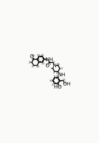 O=C(CN1CCC(Nc2cccc(O)c2CO)CC1)Nc1ccc2c(c1)CCCC2=O